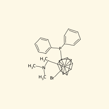 CC(N(C)C)[C]12[C]3(Br)[CH]4[CH]5[C]1(P(c1ccccc1)c1ccccc1)[Fe]45321678[CH]2[CH]1[CH]6[CH]7[CH]28